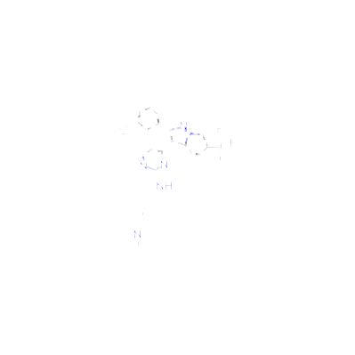 FC(F)(F)c1ccc2c(-c3ccnc(NCCCCN4CCCC4)n3)c(-c3cccc(Cl)c3)nn2c1